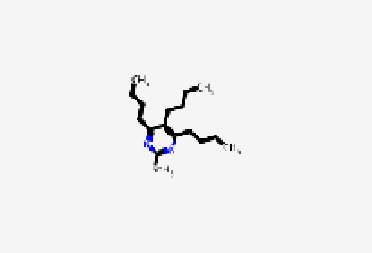 CCCCc1n[c]([SnH3])nc(CCCC)c1CCCC